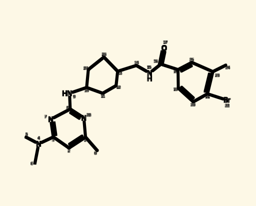 Cc1cc(N(C)C)nc(NC2CCC(CNC(=O)c3ccc(Br)c(C)c3)CC2)n1